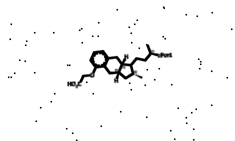 CCCCC[C@H](C)CCC1[C@H](C)C[C@@H]2Cc3c(cccc3OCC(=O)O)C[C@H]12